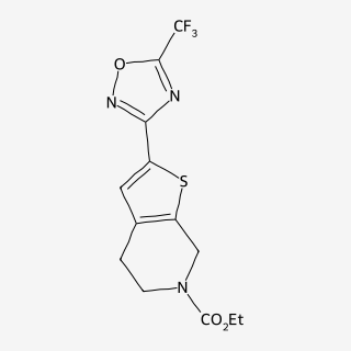 CCOC(=O)N1CCc2cc(-c3noc(C(F)(F)F)n3)sc2C1